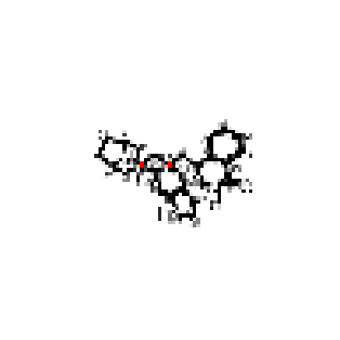 O=C(CCCc1n[nH]c(=O)c2ccccc12)N1C2CCC1CN(c1ncc3cc[nH]c3n1)C2